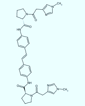 Cn1cnc(CC(=O)N2CCC[C@H]2C(=O)Nc2ccc(/C=C/c3ccc(NC(=O)[C@@H]4CCCN4C(=O)Cc4cn(C)cn4)cc3)cc2)c1